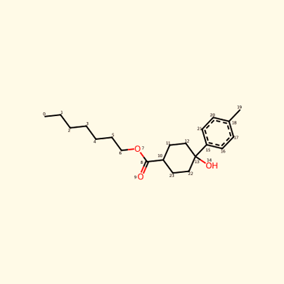 CCCCCCCOC(=O)C1CCC(O)(c2ccc(C)cc2)CC1